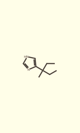 CCC(C)(CC)c1c[nH]cn1